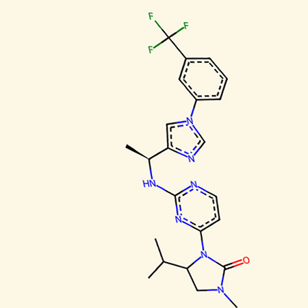 CC(C)C1CN(C)C(=O)N1c1ccnc(N[C@@H](C)c2cn(-c3cccc(C(F)(F)F)c3)cn2)n1